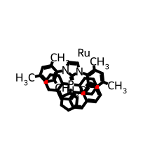 Cc1cc(C)c(-n2ccn(-c3c(C)cc(C)cc3C)c2=P(C2CCCCC2)(C2CCCCC2)C2CCCCC2=Cc2ccc3ccccc3c2)c(C)c1.[Ru]